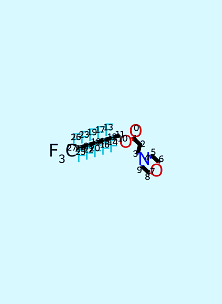 O=C(CCN1CCOCC1)OCC(F)(F)C(F)(F)C(F)(F)C(F)(F)C(F)(F)C(F)(F)F